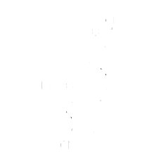 COc1nc(Cl)cc2c1[C@H](N1CC(OC)C1)CC2